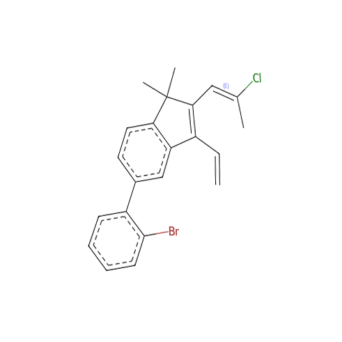 C=CC1=C(/C=C(\C)Cl)C(C)(C)c2ccc(-c3ccccc3Br)cc21